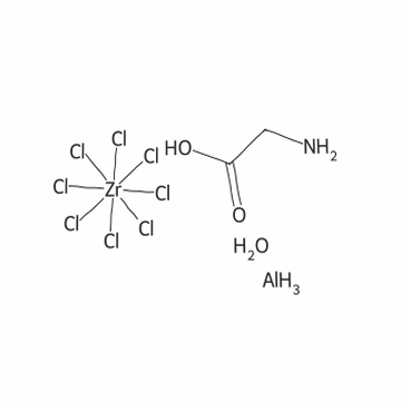 NCC(=O)O.O.[AlH3].[Cl][Zr]([Cl])([Cl])([Cl])([Cl])([Cl])([Cl])[Cl]